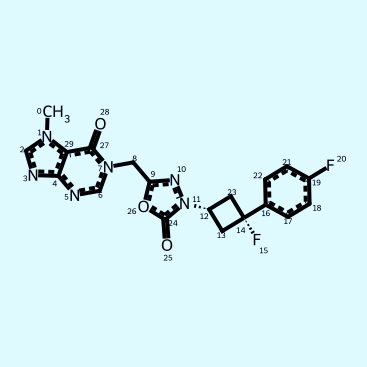 Cn1cnc2ncn(Cc3nn([C@H]4C[C@](F)(c5ccc(F)cc5)C4)c(=O)o3)c(=O)c21